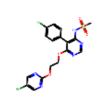 CS(=O)(=O)Nc1ncnc(OCCOc2ncc(Br)cn2)c1-c1ccc(Br)cc1